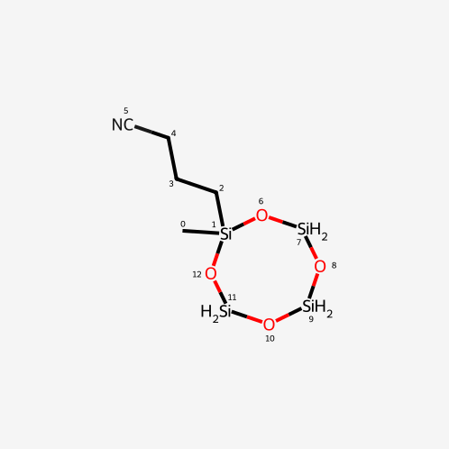 C[Si]1(CCCC#N)O[SiH2]O[SiH2]O[SiH2]O1